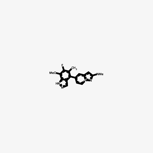 CNc1cc2cc(-c3c(C)c(F)c(OC)c4[nH]ncc34)ccn2n1